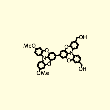 COc1ccc2c(c1)Oc1cc(-c3cc4c5c(c3)Oc3cc(CO)ccc3N5c3ccc(CO)cc3O4)cc3c1N2c1ccc(OC)cc1O3